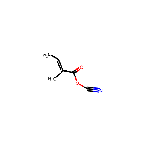 C/C=C(\C)C(=O)OC#N